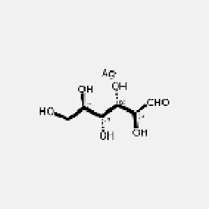 O=C[C@@H](O)[C@@H](O)[C@H](O)[C@H](O)CO.[Ag]